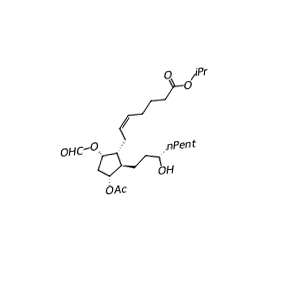 CCCCC[C@H](O)CC[C@@H]1[C@@H](C/C=C\CCCC(=O)OC(C)C)[C@@H](OC=O)C[C@H]1OC(C)=O